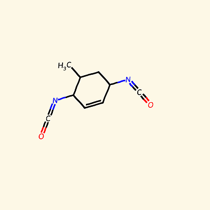 CC1CC(N=C=O)C=CC1N=C=O